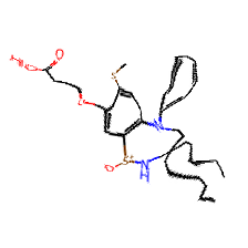 CCCCC1(CCCC)CN(c2ccccc2)c2cc(SC)c(OCCC(=O)O)cc2[S+]([O-])N1